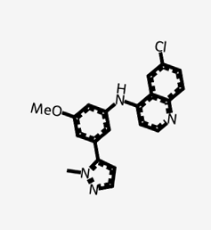 COc1cc(Nc2ccnc3ccc(Cl)cc23)cc(-c2ccnn2C)c1